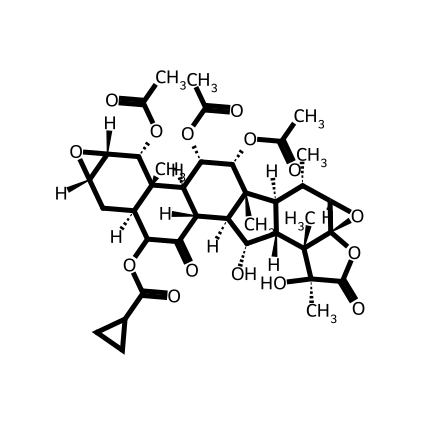 CC(=O)O[C@H]1[C@H]2[C@@H](C(=O)C(OC(=O)C3CC3)[C@H]3C[C@@H]4O[C@@H]4[C@H](OC(C)=O)[C@]23C)[C@@H]2[C@@H](O)[C@@H]3[C@H]([C@H](C)[C@H]4O[C@]45OC(=O)[C@@](C)(O)[C@]35C)[C@@]2(C)[C@H]1OC(C)=O